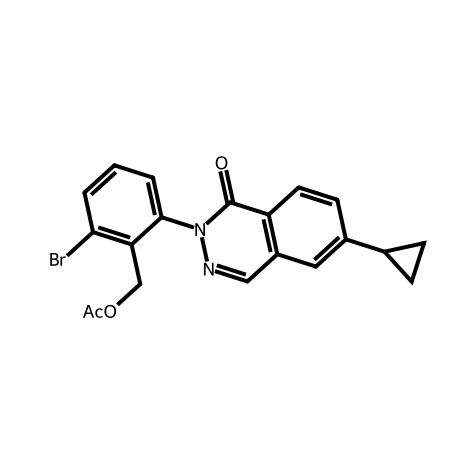 CC(=O)OCc1c(Br)cccc1-n1ncc2cc(C3CC3)ccc2c1=O